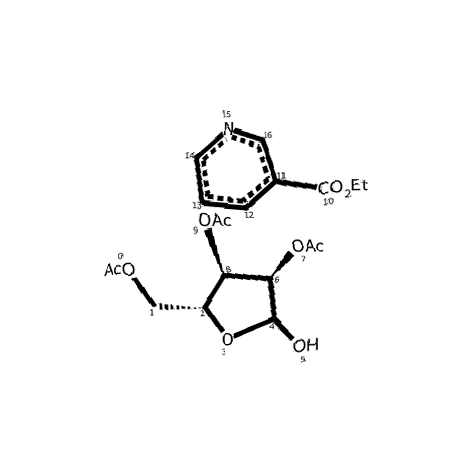 CC(=O)OC[C@H]1OC(O)[C@H](OC(C)=O)[C@@H]1OC(C)=O.CCOC(=O)c1cccnc1